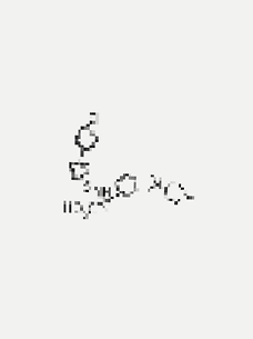 CN1CCC(N(C)Cc2cccc(C3CC3(NSc3ccc(-c4ccc(Cl)cc4)s3)C(=O)O)c2)CC1